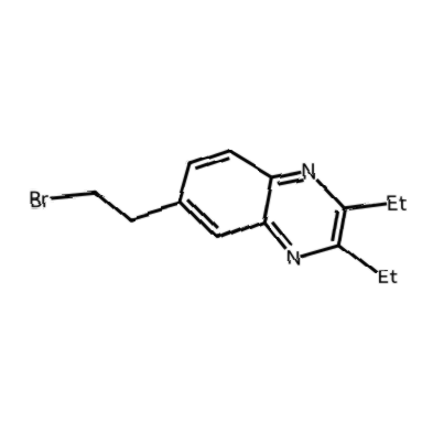 CCc1nc2ccc(CCBr)cc2nc1CC